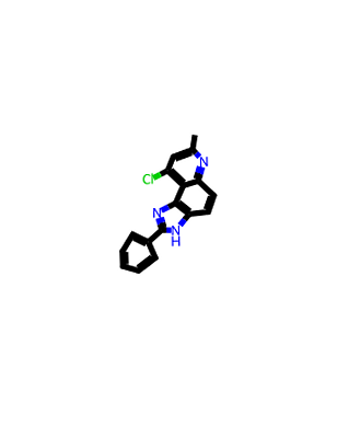 Cc1cc(Cl)c2c(ccc3[nH]c(-c4ccccc4)nc32)n1